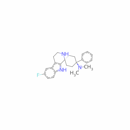 CN(C)[C@]1(c2ccccc2)CC[C@@]2(CC1)NCCc1c3cc(F)ccc3[nH]c12